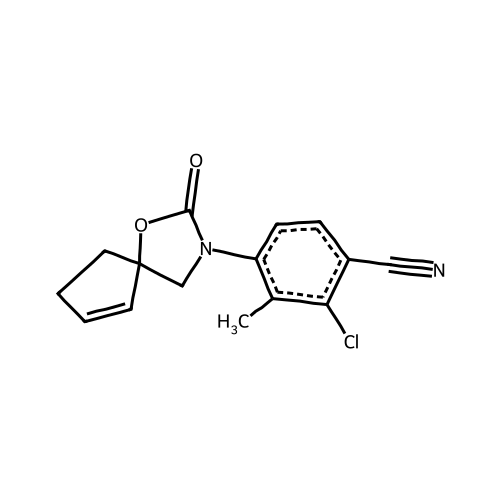 Cc1c(N2CC3(C=CCC3)OC2=O)ccc(C#N)c1Cl